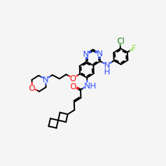 O=C(C=CCC1CC2(CCC2)C1)Nc1cc2c(Nc3ccc(F)c(Cl)c3)ncnc2cc1OCCCN1CCOCC1